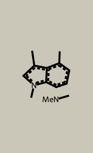 CNC.Cc1cccc2c1c(C)cn2C